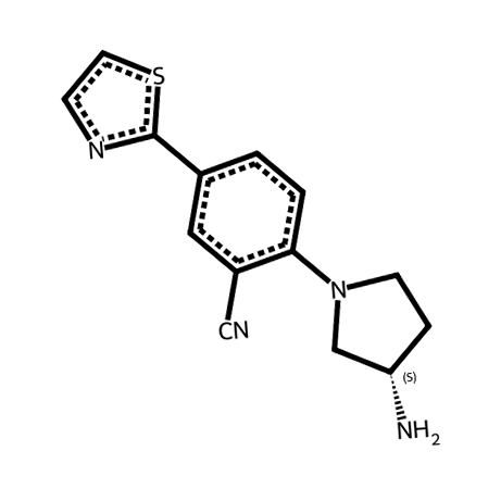 N#Cc1cc(-c2nccs2)ccc1N1CC[C@H](N)C1